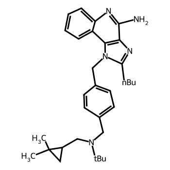 CCCCc1nc2c(N)nc3ccccc3c2n1Cc1ccc(CN(CC2CC2(C)C)C(C)(C)C)cc1